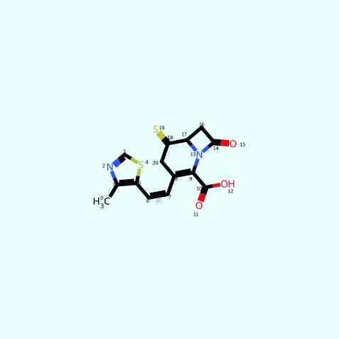 Cc1ncsc1/C=C\C1=C(C(=O)O)N2C(=O)CC2C(=S)C1